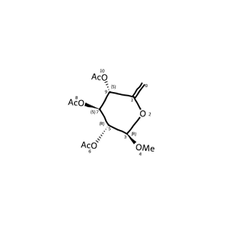 C=C1O[C@@H](OC)[C@H](OC(C)=O)[C@@H](OC(C)=O)[C@@H]1OC(C)=O